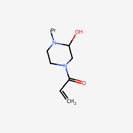 C=CC(=O)N1CCN(C(C)C)C(O)C1